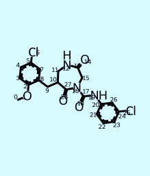 COc1ccc(Cl)cc1CC1CNC(=O)CN(C(=O)Nc2cccc(Cl)c2)C1=O